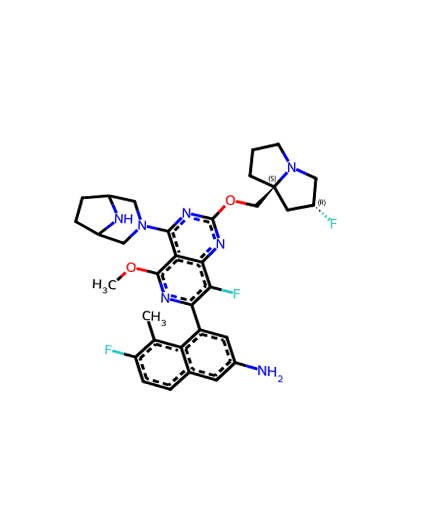 COc1nc(-c2cc(N)cc3ccc(F)c(C)c23)c(F)c2nc(OC[C@@]34CCCN3C[C@H](F)C4)nc(N3CC4CCC(C3)N4)c12